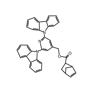 O=C(OCc1cc(-n2c3ccccc3c3ccccc32)nc(-n2c3ccccc3c3ccccc32)c1)C1CC2C=CC1C2